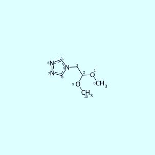 COC(Cn1[c]nnc1)OC